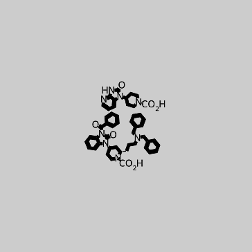 O=C(O)N1CCC(n2c(=O)[nH]c3ncccc32)CC1.O=C(O)N1CCC(n2c(=O)n(C(=O)c3ccccc3)c3ccccc32)C[C@@H]1CCCN(Cc1ccccc1)Cc1ccccc1